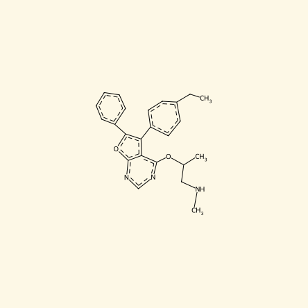 CCc1ccc(-c2c(-c3ccccc3)oc3ncnc(OC(C)CNC)c23)cc1